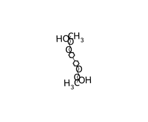 CC(O)OCCOc1ccc(-c2ccc(OCCOC(C)O)cc2)cc1